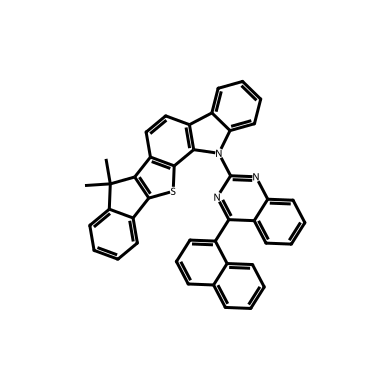 CC1(C)c2ccccc2-c2sc3c(ccc4c5ccccc5n(-c5nc(-c6cccc7ccccc67)c6ccccc6n5)c43)c21